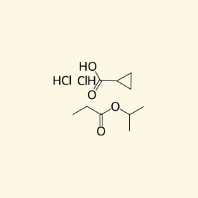 CCC(=O)OC(C)C.Cl.Cl.O=C(O)C1CC1